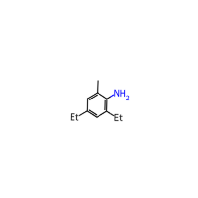 CCc1cc(C)c(N)c(CC)c1